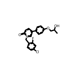 CC(O)COc1ccc(-c2ccc(=O)n(Cc3ccc(Cl)cc3F)c2)cc1